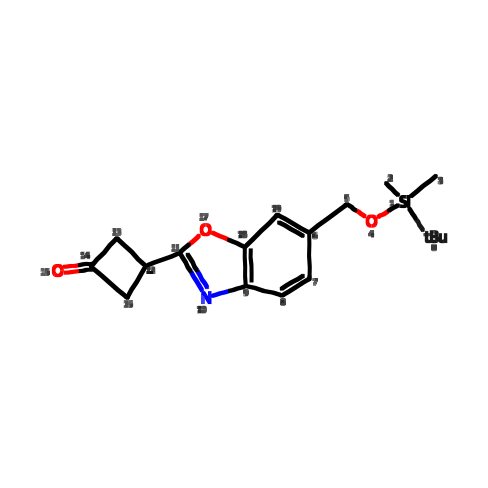 CC(C)(C)[Si](C)(C)OCc1ccc2nc(C3CC(=O)C3)oc2c1